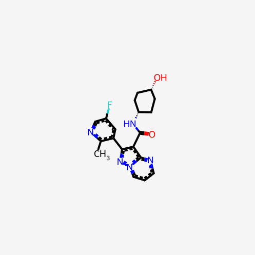 Cc1ncc(F)cc1-c1nn2cccnc2c1C(=O)N[C@H]1CC[C@@H](O)CC1